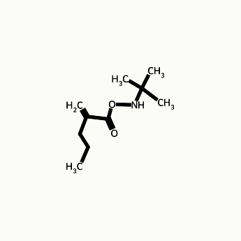 C=C(CCC)C(=O)ONC(C)(C)C